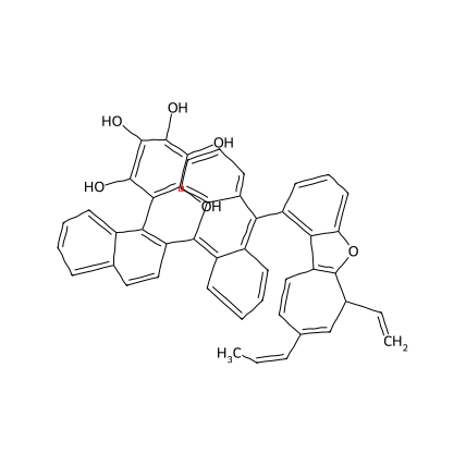 C=CC1C=C(/C=C\C)C=Cc2c1oc1cccc(-c3c4ccccc4c(-c4ccc5ccccc5c4-c4c(O)c(O)c(O)c(O)c4O)c4ccccc34)c21